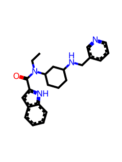 CCN(C(=O)c1cc2ccccc2[nH]1)C1CCCC(NCc2cccnc2)C1